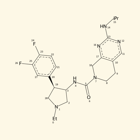 CCN1CC(NC(=O)N2CCc3cnc(NC(C)C)nc3C2)[C@H](c2ccc(F)c(F)c2)C1